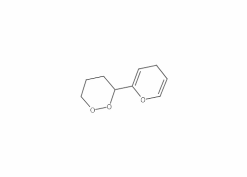 C1=COC(C2CCCOO2)=CC1